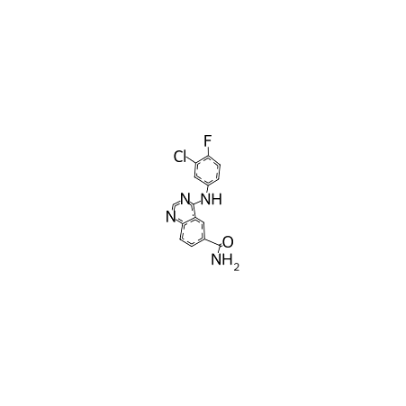 NC(=O)c1ccc2ncnc(Nc3ccc(F)c(Cl)c3)c2c1